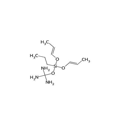 CC=CO[Si](CCC)(OC=CC)OC(N)(N)N